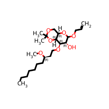 C=CCOC1O[C@@H]2COC(C)(C)O[C@H]2[C@H](OCC[C@@H](CCCCCCC)OC)[C@H]1O